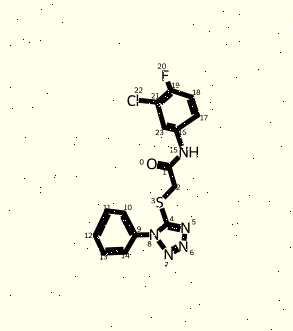 O=C(CSc1nnnn1-c1ccccc1)Nc1ccc(F)c(Cl)c1